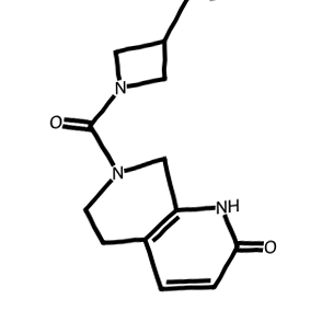 BC1CN(C(=O)N2CCc3ccc(=O)[nH]c3C2)C1